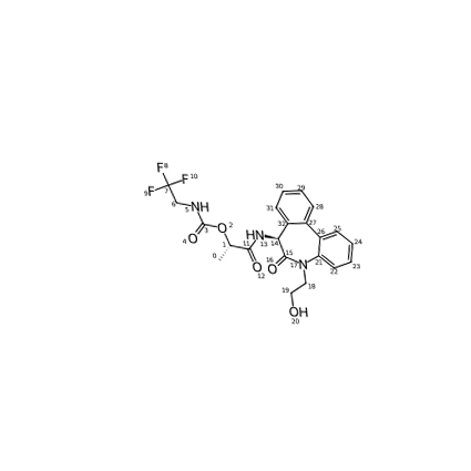 C[C@H](OC(=O)NCC(F)(F)F)C(=O)N[C@@H]1C(=O)N(CCO)c2ccccc2-c2ccccc21